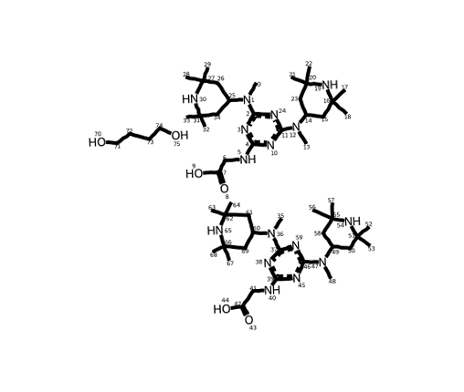 CN(c1nc(NCC(=O)O)nc(N(C)C2CC(C)(C)NC(C)(C)C2)n1)C1CC(C)(C)NC(C)(C)C1.CN(c1nc(NCC(=O)O)nc(N(C)C2CC(C)(C)NC(C)(C)C2)n1)C1CC(C)(C)NC(C)(C)C1.OCCCCO